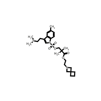 Cc1ccc2c(c1)c(CCN(C)C)cn2S(=O)(=O)OCC(C)(C)C(=O)OCCN1CC2(CCC2)C1